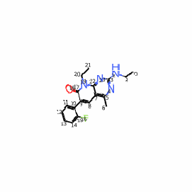 CCNc1nc(C)c2cc(-c3ccccc3F)c(=O)n(CC)c2n1